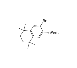 CCCCCc1cc2c(cc1Br)C(C)(C)CCC2(C)C